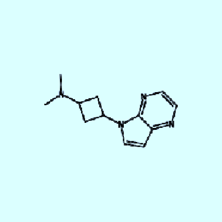 CN(C)C1CC(n2ccc3nccnc32)C1